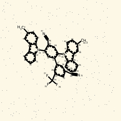 Cc1ccc2c(c1)c1ccccc1n2-c1cc(-c2cc(C#N)cc(C(F)(F)F)c2)c(-n2c3ccccc3c3cc(C)ccc32)cc1C#N